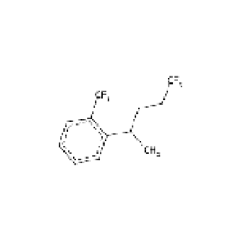 CC(CCC(F)(F)F)c1ccccc1C(F)(F)F